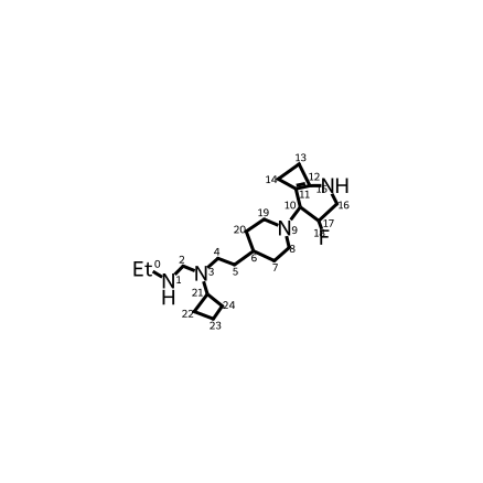 CCNCN(CCC1CCN(C2C3=C(CC3)NCC2F)CC1)C1CCC1